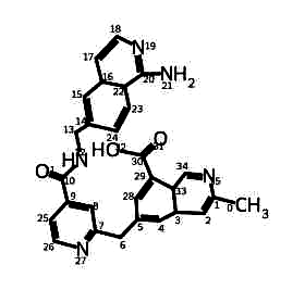 CC1=CC2C=C(Cc3cc(C(=O)NCC4=CC5C=CN=C(N)C5C=C4)ccn3)C=C(C(=O)O)C2C=N1